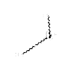 CCCCCCCCCCCCCCCCCOC(=O)C(C)=C(F)CCCCCCCCCC